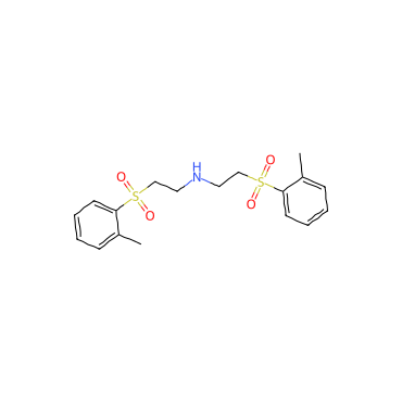 Cc1ccccc1S(=O)(=O)CCNCCS(=O)(=O)c1ccccc1C